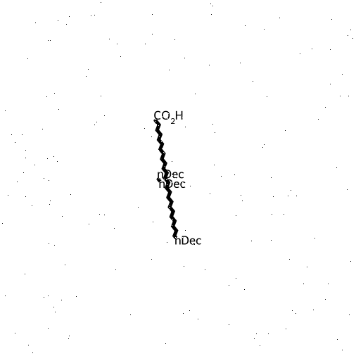 CCCCCCCCCCCCCCCCCCCCC.CCCCCCCCCCCCCCCCCCCCCCCCCCCCCCCCCCCC(=O)O